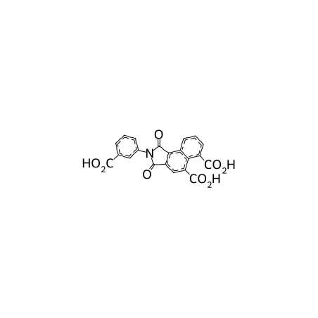 O=C(O)c1cccc(N2C(=O)c3cc(C(=O)O)c4c(C(=O)O)cccc4c3C2=O)c1